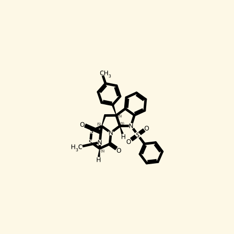 Cc1ccc([C@]23C[C@@]45SS[C@@H](C(=O)N4[C@H]2N(S(=O)(=O)c2ccccc2)c2ccccc23)N(C)C5=O)cc1